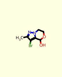 Cc1nn2c(c1Br)C(O)OCC2